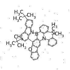 CC(C)(C)c1ccc2c(c1)c1cc(C(C)(C)C)cc3c1n2B1c2cccc4c2N(c2ccccc2[Si]4(C)C)c2cc4c(oc5ccccc54)c-3c21